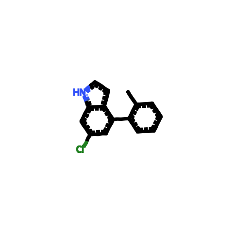 Cc1ccccc1-c1cc(Cl)cc2[nH]ccc12